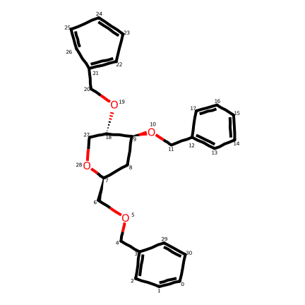 c1ccc(COC[C@@H]2C[C@H](OCc3ccccc3)[C@@H](OCc3ccccc3)CO2)cc1